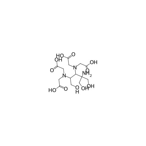 NC(CO)(CO)C(C(CO)N(CC(=O)O)CC(=O)O)N(CC(=O)O)CC(=O)O